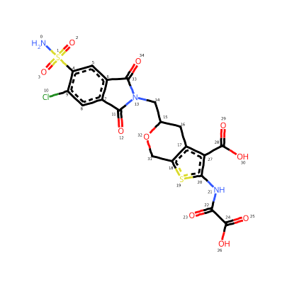 NS(=O)(=O)c1cc2c(cc1Cl)C(=O)N(CC1Cc3c(sc(NC(=O)C(=O)O)c3C(=O)O)CO1)C2=O